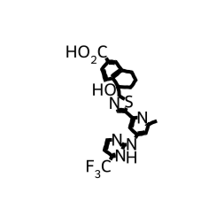 Cc1cc(Nc2nccc(C(F)(F)F)n2)cc(-c2cnc([C@@]3(O)CCCc4cc(C(=O)O)ccc43)s2)n1